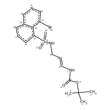 CC(C)(C)OC(=O)NC=CCNS(=O)(=O)c1cccc2cncc(Br)c12